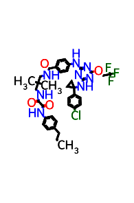 CCCc1ccc(NC(=O)C(=O)NCC(C)(C)CNC(=O)c2ccc(Nc3nc(NC4(c5ccc(Cl)cc5)CC4)nc(OCC(F)(F)F)n3)cc2)cc1